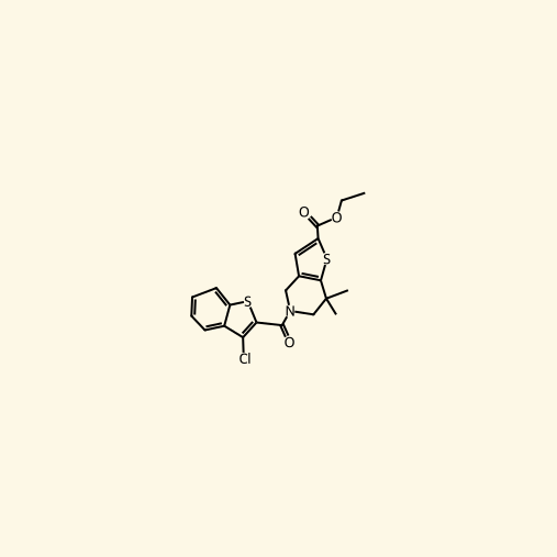 CCOC(=O)c1cc2c(s1)C(C)(C)CN(C(=O)c1sc3ccccc3c1Cl)C2